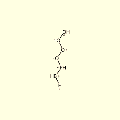 OOOOPBF